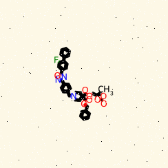 Cc1oc(=O)oc1COC(=O)C1(C(=O)OCc2ccccc2)CCN(Cc2ccc(-c3noc(-c4ccc(-c5ccccc5)c(F)c4)n3)cc2)CC1